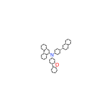 c1ccc2cc(-c3ccc(N(c4ccc5c(c4)oc4ccccc45)c4cc5ccccc5c5ccccc45)cc3)ccc2c1